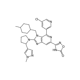 CC1CCC(Cn2c(N3CCCC3c3cnn(C)c3)nc3cc(-c4noc(=O)[nH]4)nc(-c4cncc(Cl)c4)c32)CC1